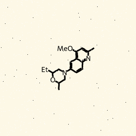 CCC1CN(c2ccc3nc(C)cc(OC)c3c2)CC(C)O1